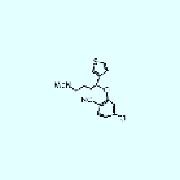 CNCCCC(Oc1cc(Cl)ccc1C#N)c1ccsc1